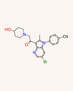 Cc1c(C(=O)CN2CCC(O)CC2)c2ncc(Br)cc2n1-c1ccc(C#N)cc1